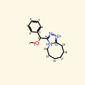 COC(c1ccccc1)c1nnc2n1CCCCCC2